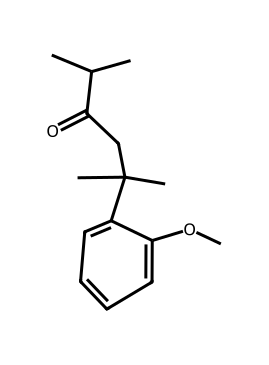 COc1ccccc1C(C)(C)CC(=O)C(C)C